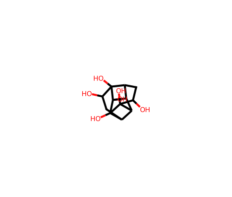 OC1CC2C3C4C5CC(O)C2(O)C3(O)C5(O)C14O